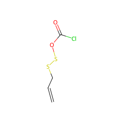 C=CCSSOC(=O)Cl